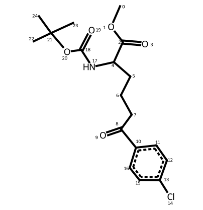 COC(=O)C(CCCC(=O)c1ccc(Cl)cc1)NC(=O)OC(C)(C)C